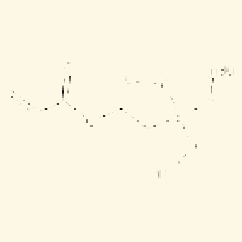 C=CC(=O)OCC[Si](OCCCC)(OCCCC)OCCCC